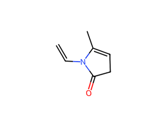 C=CN1C(=O)CC=C1C